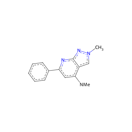 CNc1cc(-c2ccccc2)nc2nn(C)cc12